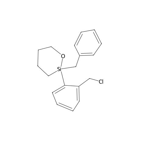 ClCc1ccccc1[Si]1(Cc2ccccc2)CCCCO1